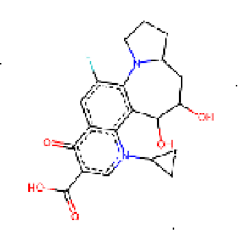 O=C(O)c1cn(C2CC2)c2c3c(c(F)cc2c1=O)N1CCCC1CC(O)C3O